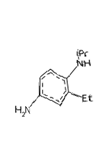 CCc1cc(N)ccc1NC(C)C